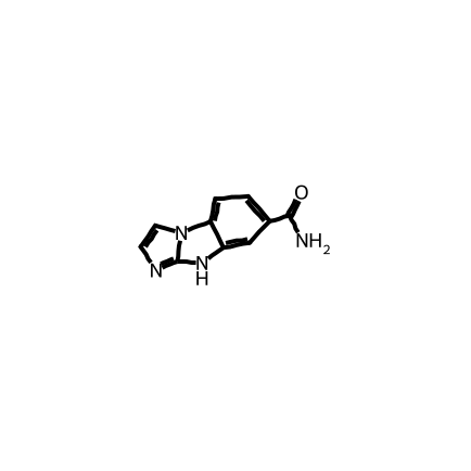 NC(=O)c1ccc2c(c1)[nH]c1nccn12